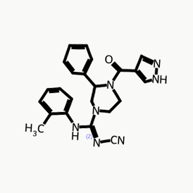 Cc1ccccc1N/C(=N/C#N)N1CCN(C(=O)c2cn[nH]c2)C(c2ccccc2)C1